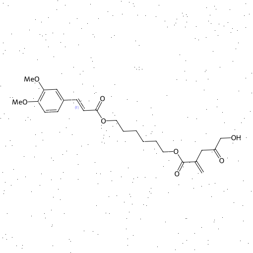 C=C(CC(=O)CO)C(=O)OCCCCCCOC(=O)/C=C/c1ccc(OC)c(OC)c1